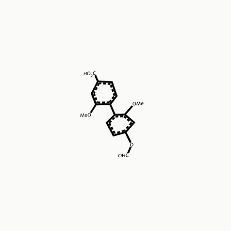 COc1cc(OC=O)ccc1-c1ccc(C(=O)O)cc1OC